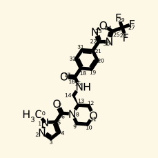 Cn1nccc1C(=O)N1CCOC[C@@H]1CNC(=O)c1ccc(-c2noc(C(F)(F)F)n2)cc1